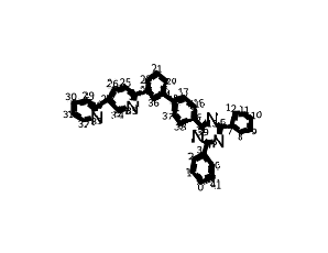 c1ccc(-c2nc(-c3ccccc3)nc(-c3ccc(-c4cccc(-c5ccc(-c6ccccn6)cn5)c4)cc3)n2)cc1